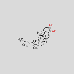 CC(C)CCC[C@@H](C)[C@H]1CC[C@H]2[C@@H]3CC=C4[C@@H](O)[C@@H](O)CC[C@]4(C)[C@H]3CC[C@]12C